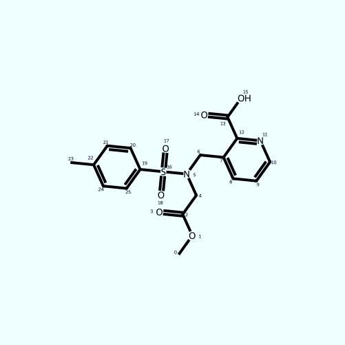 COC(=O)CN(Cc1cccnc1C(=O)O)S(=O)(=O)c1ccc(C)cc1